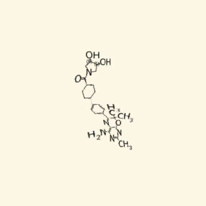 Cc1nc(N)c2c(n1)OC(C)(C)C(c1ccc([C@H]3CC[C@H](C(=O)N4C[C@@H](O)[C@@H](O)C4)CC3)cc1)=N2